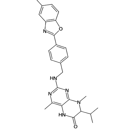 Cc1ccc2oc(-c3ccc(CNc4nc(C)c5c(n4)N(C)C(C(C)C)C(=O)N5)cc3)nc2c1